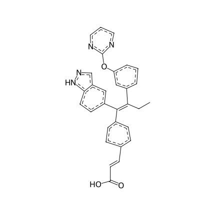 CCC(=C(c1ccc(C=CC(=O)O)cc1)c1ccc2[nH]ncc2c1)c1cccc(Oc2ncccn2)c1